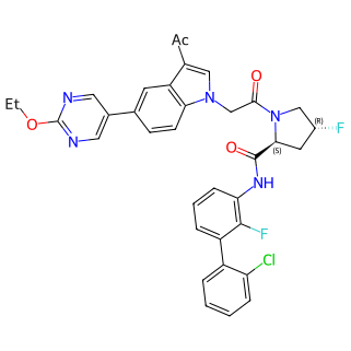 CCOc1ncc(-c2ccc3c(c2)c(C(C)=O)cn3CC(=O)N2C[C@H](F)C[C@H]2C(=O)Nc2cccc(-c3ccccc3Cl)c2F)cn1